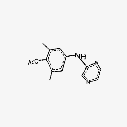 CC(=O)Oc1c(C)cc(Nc2cnccn2)cc1C